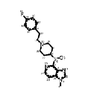 Cn1cnc2c([S+]([O-])C3CCN(CCc4ccc(F)cc4)CC3)nccc21